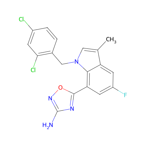 Cc1cn(Cc2ccc(Cl)cc2Cl)c2c(-c3nc(N)no3)cc(F)cc12